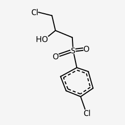 O=S(=O)(CC(O)CCl)c1ccc(Cl)cc1